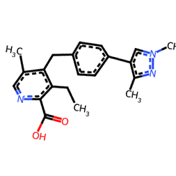 CCc1c(C(=O)O)ncc(C)c1Cc1ccc(-c2cn(C)nc2C)cc1